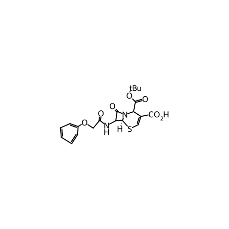 CC(C)(C)OC(=O)C1C(C(=O)O)=CS[C@H]2C(NC(=O)COc3ccccc3)C(=O)N12